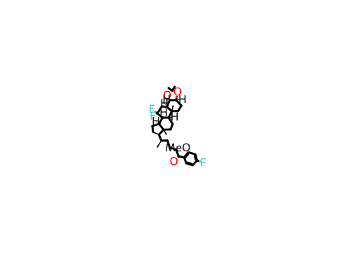 COc1cc(F)ccc1C(=O)CCC[C@@H](C)[C@H]1CC[C@H]2[C@H]3[C@H](CC[C@]12C)[C@@]1(C)CC[C@@H]2OC(C)(C)O[C@@H]2[C@@H]1CC3(F)F